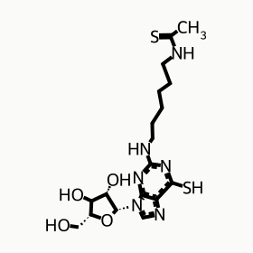 CC(=S)NCCCCCCNc1nc(S)c2ncn([C@@H]3O[C@H](CO)C(O)[C@@H]3O)c2n1